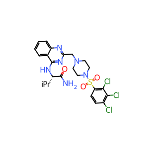 CC(C)[C@H](Nc1nc(CN2CCN(S(=O)(=O)c3ccc(Cl)c(Cl)c3Cl)CC2)nc2ccccc12)C(N)=O